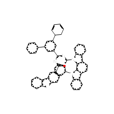 C1=CCC(c2cc(-c3ccccc3)cc(-c3nc(-c4ccc5oc6ccccc6c5c4)nc(-n4c5ccccc5c5ccc6c7ccccc7n(-c7ccccc7)c6c54)n3)c2)C=C1